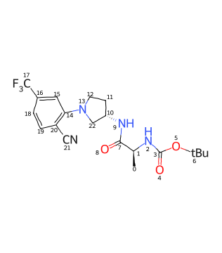 C[C@H](NC(=O)OC(C)(C)C)C(=O)N[C@H]1CCN(c2cc(C(F)(F)F)ccc2C#N)C1